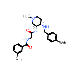 CSc1ccc(CN[C@H]2CCN(C)C[C@H]2NC(=O)CNC(=O)c2cccc(C(F)(F)F)c2)cc1